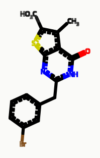 Cc1c(C(=O)O)sc2nc(Cc3cccc(Br)c3)[nH]c(=O)c12